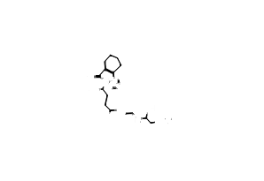 CSCC(O)NCCOC(O)CCC(O)N1C(=O)C2=C(CCCC2)S1(=O)=O